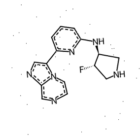 F[C@H]1CNC[C@@H]1Nc1cccc(-c2cnc3cnccn23)n1